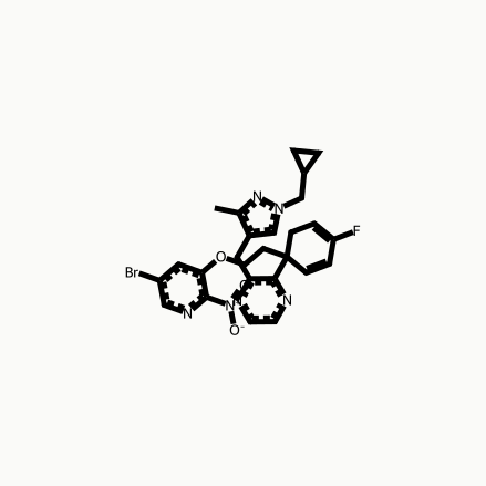 Cc1nn(CC2CC2)cc1Cc1nccnc1C1(CCOc2cc(Br)cnc2[N+](=O)[O-])C=CC(F)=CC1